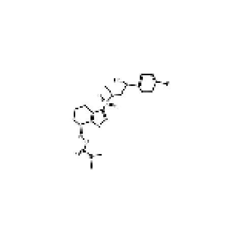 CN(C)C(=O)O/N=C1/CCCc2c(S(=O)(=O)N(C)CC(O)c3ccc(F)cc3)csc21